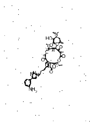 C=C1C(=O)[C@H](C)C[C@@](C)(OC)[C@H](O[C@@H]2O[C@H](C)CC(N(C)C)C2O)[C@@H](C)C(=O)[C@@H](C)C(=O)O[C@H](CC)[C@@]2(C)OC(=O)N(CCCCn3cc(-c4cccc(N)c4)nn3)[C@H]12